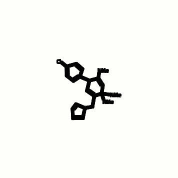 CNC1=CC(NC)(NC)C(Cn2cccc2)=CC1c1ccc(Cl)cc1